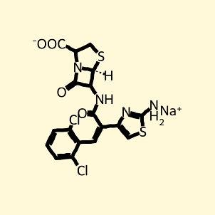 Nc1nc(/C(=C/c2c(Cl)cccc2Cl)C(=O)NC2C(=O)N3C(C(=O)[O-])CS[C@@H]23)cs1.[Na+]